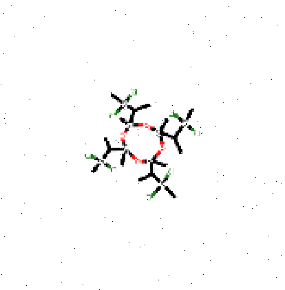 CC([Si](C)(Cl)Cl)[Si]1(C)O[Si](C)(C(C)[Si](C)(Cl)Cl)O[Si](C)(C(C)[Si](C)(Cl)Cl)O[Si](C)(C(C)[Si](C)(Cl)Cl)O1